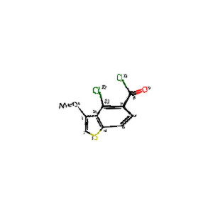 COc1csc2ccc(C(=O)Cl)c(Cl)c12